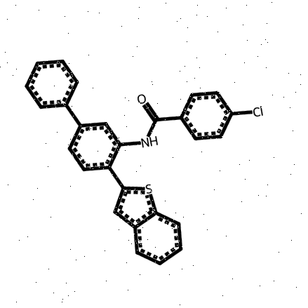 O=C(Nc1cc(-c2ccccc2)ccc1-c1cc2ccccc2s1)c1ccc(Cl)cc1